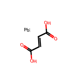 O=C(O)C=CC(=O)O.[Pb]